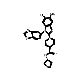 Cc1cc2nc(N3CCC(C(=O)N[C@@H]4CCOC4)CC3)n(-c3ccc4scnc4c3)c2cc1C